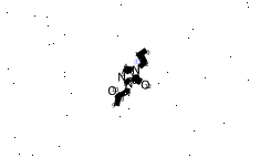 C/C=C/n1cnn(CC(C)=O)c1=O